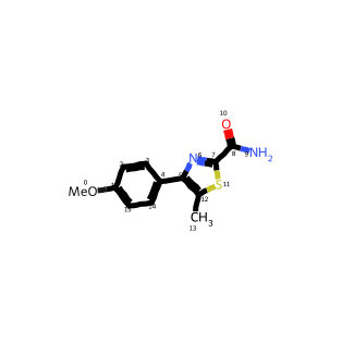 COc1ccc(-c2nc(C(N)=O)sc2C)cc1